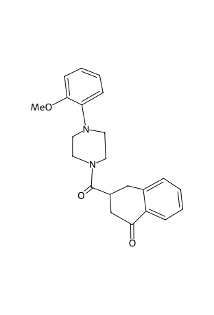 COc1ccccc1N1CCN(C(=O)C2CC(=O)c3ccccc3C2)CC1